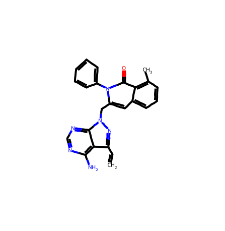 C=Cc1nn(Cc2cc3cccc(C)c3c(=O)n2-c2ccccc2)c2ncnc(N)c12